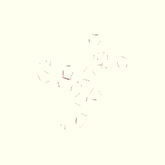 N#Cc1cccc(C2=CCc3c(n(-c4c(-c5ccccc5C(F)(F)F)cc(-c5nc(-c6ccccc6)nc(-c6ccccc6)n5)cc4-c4ccccc4C(F)(F)F)c4ccc(-c5cccc(C#N)c5)cc34)C=C2)c1